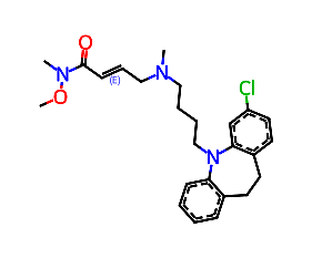 CON(C)C(=O)/C=C/CN(C)CCCCN1c2ccccc2CCc2ccc(Cl)cc21